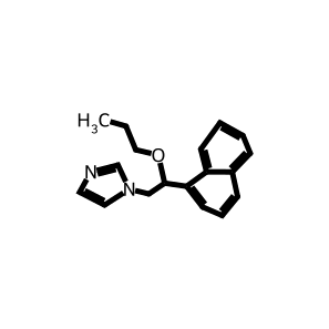 CCCOC(Cn1ccnc1)c1cccc2ccccc12